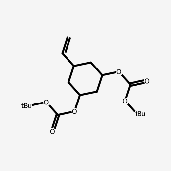 C=CC1CC(OC(=O)OC(C)(C)C)CC(OC(=O)OC(C)(C)C)C1